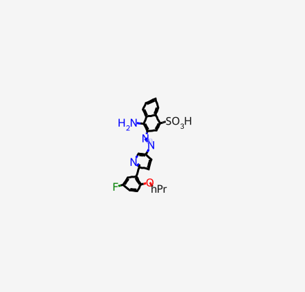 CCCOc1ccc(F)cc1-c1ccc(/N=N/c2cc(S(=O)(=O)O)c3ccccc3c2N)cn1